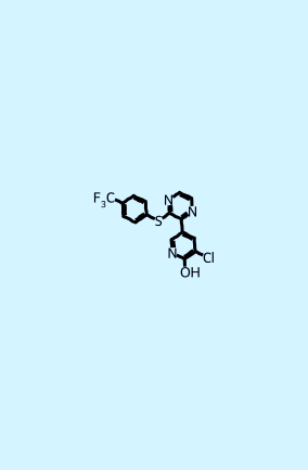 Oc1ncc(-c2nccnc2Sc2ccc(C(F)(F)F)cc2)cc1Cl